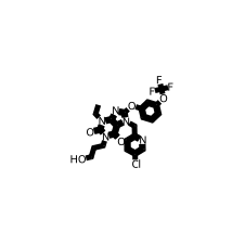 CCn1c(=O)n(CCCO)c(=O)c2c1nc(Oc1cccc(OC(F)(F)F)c1)n2Cc1ccc(Cl)cn1